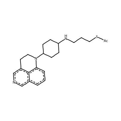 CC(=O)SCCCNC1CCC(N2CCc3cncc4cccc2c34)CC1